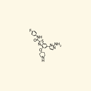 Nc1nccc(-c2cc(OC3CCNCC3)c3nc(C(=O)Nc4ccc(F)cc4)sc3c2)n1